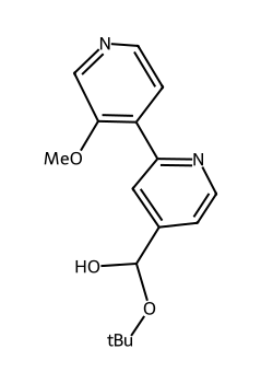 COc1cnccc1-c1cc(C(O)OC(C)(C)C)ccn1